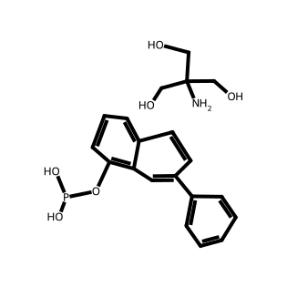 NC(CO)(CO)CO.OP(O)Oc1cccc2ccc(-c3ccccc3)cc12